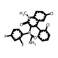 Cn1c(=O)c(N(C(N)=O)c2ccc(F)cc2F)c(-c2ccccc2Cl)c2cc(Cl)ccc21